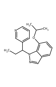 [CH2]CC(c1cccnc1)n1ncc2cccc(OC(C)C)c21